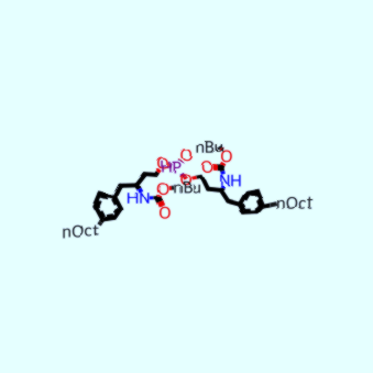 CCCCCCCCc1ccc(CC(CCO[PH](=O)OCCC(Cc2ccc(CCCCCCCC)cc2)NC(=O)OCCCC)NC(=O)OCCCC)cc1